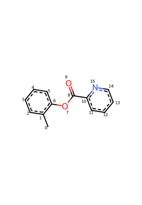 Cc1ccccc1OC(=O)c1ccccn1